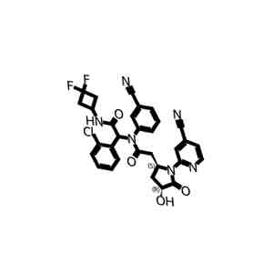 N#Cc1cccc(N(C(=O)C[C@@H]2C[C@@H](O)C(=O)N2c2cc(C#N)ccn2)C(C(=O)NC2CC(F)(F)C2)c2ccccc2Cl)c1